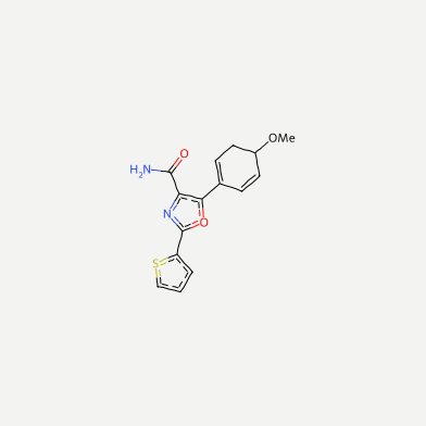 COC1C=CC(c2oc(-c3cccs3)nc2C(N)=O)=CC1